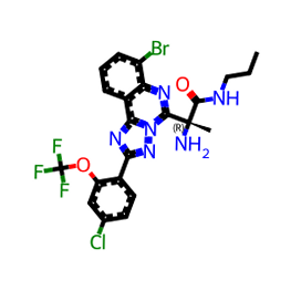 CCCNC(=O)[C@](C)(N)c1nc2c(Br)cccc2c2nc(-c3ccc(Cl)cc3OC(F)(F)F)nn12